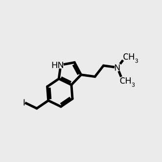 CN(C)CCc1c[nH]c2cc(CI)ccc12